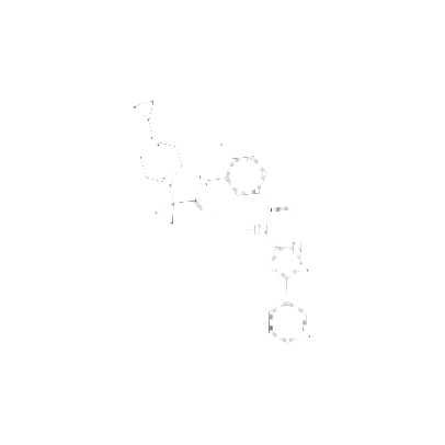 O=C(Nc1nnc(-c2cccnc2)s1)c1ccc(Cl)c(NC(=O)C2(N3CCN(C4CC4)CC3)CC2)c1